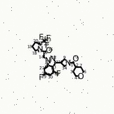 O=C(C1CCOCC1)N1CC(c2nn(CC(=O)N3CCC[C@H]3C(F)(F)F)c3cc(F)cc(F)c23)C1